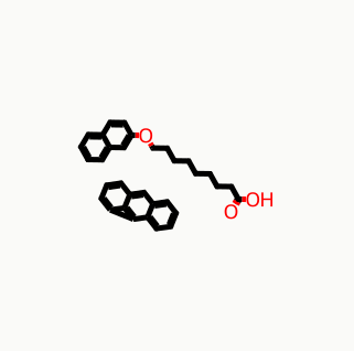 O=C(O)CCCCCCCCOc1ccc2ccccc2c1.c1ccc2c3c4c-3cccc4cc2c1